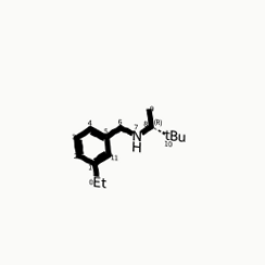 CCc1cccc(CN[C@H](C)C(C)(C)C)c1